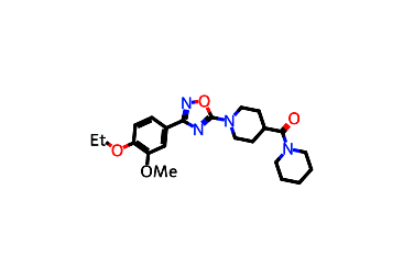 CCOc1ccc(-c2noc(N3CCC(C(=O)N4CCCCC4)CC3)n2)cc1OC